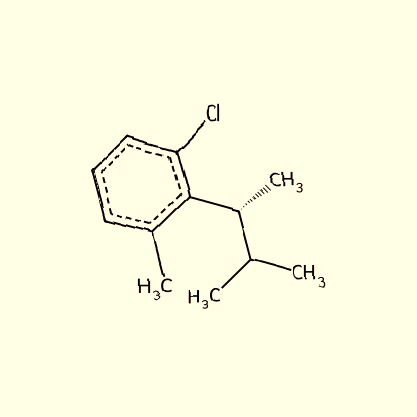 Cc1cccc(Cl)c1[C@H](C)C(C)C